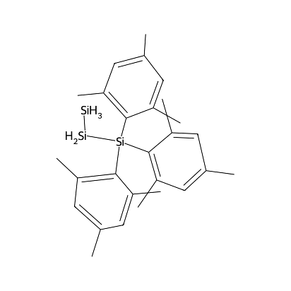 Cc1cc(C)c([Si]([SiH2][SiH3])(c2c(C)cc(C)cc2C)c2c(C)cc(C)cc2C)c(C)c1